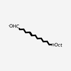 CCCCCCCCCCCCCC/C=C/CCC[C]=O